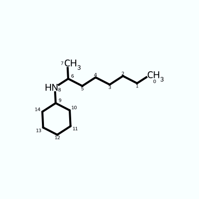 CCCCCCC(C)NC1CCCCC1